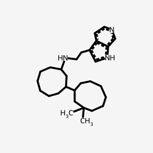 CC1(C)CCCCCCC(C2CCCCCCC(NCCc3c[nH]c4cnccc34)C2)C1